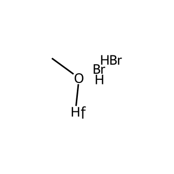 Br.Br.C[O][Hf]